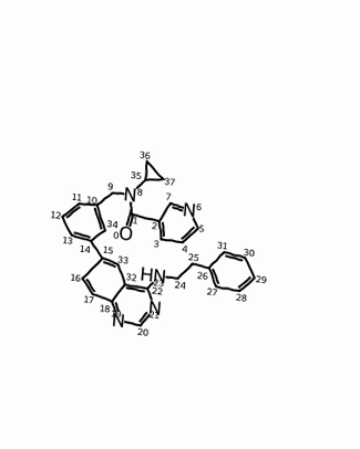 O=C(c1cccnc1)N(Cc1cccc(-c2ccc3ncnc(NCCc4ccccc4)c3c2)c1)C1CC1